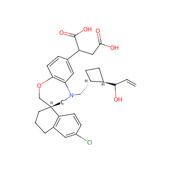 C=CC(O)[C@@H]1CC[C@H]1CN1C[C@@]2(CCCc3cc(Cl)ccc32)COc2ccc(C(CC(=O)O)C(=O)O)cc21